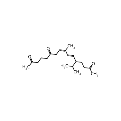 CC(=O)CCCC(=O)CC=C(C)C=CC(CCC(C)=O)C(C)C